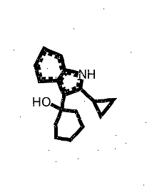 OC1(c2c(C3CC3)[nH]c3ccccc23)CCCCC1